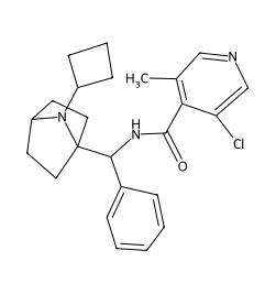 Cc1cncc(Cl)c1C(=O)NC(c1ccccc1)C12CCC(CC1)N2C1CCC1